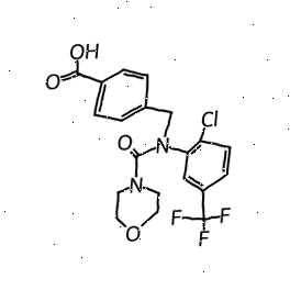 O=C(O)c1ccc(CN(C(=O)N2CCOCC2)c2cc(C(F)(F)F)ccc2Cl)cc1